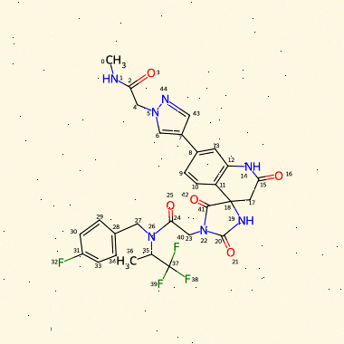 CNC(=O)Cn1cc(-c2ccc3c(c2)NC(=O)CC32NC(=O)N(CC(=O)N(Cc3ccc(F)cc3)C(C)C(F)(F)F)C2=O)cn1